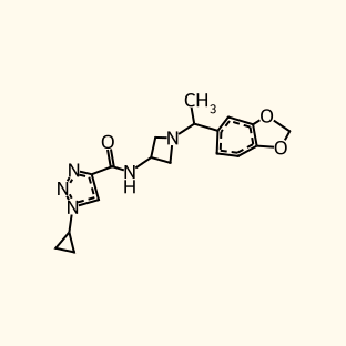 CC(c1ccc2c(c1)OCO2)N1CC(NC(=O)c2cn(C3CC3)nn2)C1